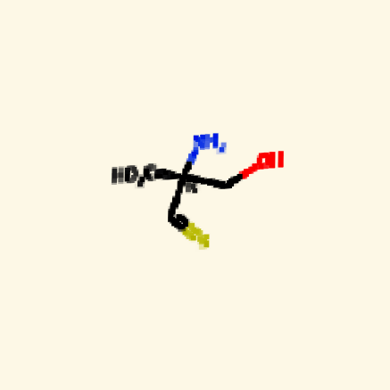 N[C@@](C=S)(CO)C(=O)O